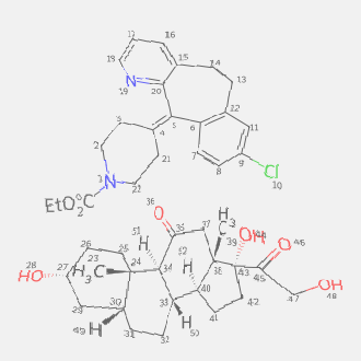 CCOC(=O)N1CCC(=C2c3ccc(Cl)cc3CCc3cccnc32)CC1.C[C@]12CC[C@@H](O)C[C@H]1CC[C@@H]1[C@@H]2C(=O)C[C@@]2(C)[C@H]1CC[C@]2(O)C(=O)CO